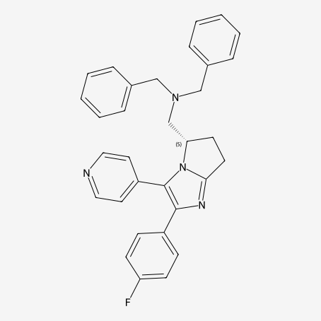 Fc1ccc(-c2nc3n(c2-c2ccncc2)[C@H](CN(Cc2ccccc2)Cc2ccccc2)CC3)cc1